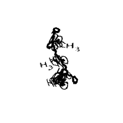 COC(=O)c1c(OCCCCNC(=O)C(=Cc2ccc(N3CC(=O)NS3(=O)=O)c(OCc3ccccc3)c2)NC(C)=O)cccc1OCc1ccccc1